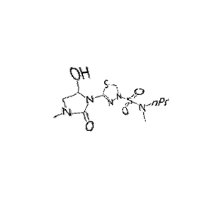 CCCN(C)S(=O)(=O)N1CSC(N2C(=O)N(C)CC2O)=N1